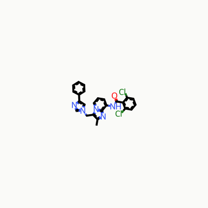 Cc1nc2c(NC(=O)c3c(Cl)cccc3Cl)cccn2c1Cn1cnc(-c2ccccc2)c1